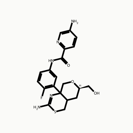 NC1=NC2(c3cc(NC(=O)c4ccc(N)cn4)ccc3F)CO[C@@H](CO)CC2CS1